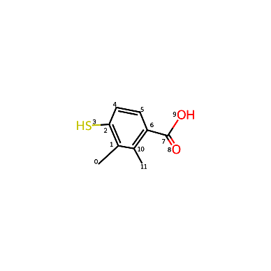 Cc1c(S)ccc(C(=O)O)c1C